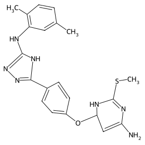 CSC1=NC(N)=CC(Oc2ccc(-c3nnc(Nc4cc(C)ccc4C)[nH]3)cc2)N1